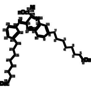 CCCCCCCCCCCCCCCCCc1cccc(/N=C(CCCCCCCC)\C(CCCC)=N\c2cccc(CCCCCCCCCCCCCCCCC)c2)c1.[Ni]